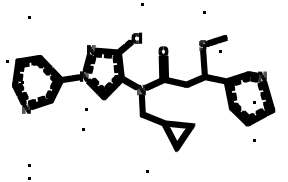 CSC(CC(=O)N(CC1CC1)c1cn(-c2cccnc2)nc1Cl)c1cccnc1